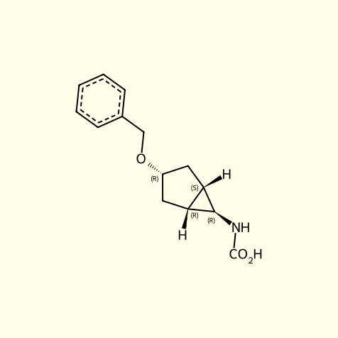 O=C(O)N[C@H]1[C@@H]2C[C@H](OCc3ccccc3)C[C@@H]21